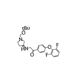 CC(C)(C)OCN1CC[C@@H](NCC(=O)c2ccc(Oc3c(F)cccc3F)cc2)C1